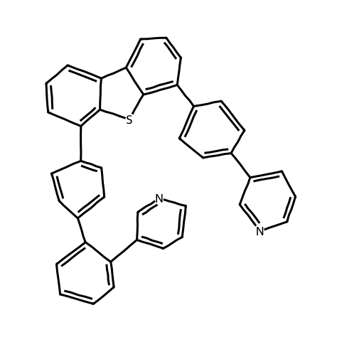 c1cncc(-c2ccc(-c3cccc4c3sc3c(-c5ccc(-c6ccccc6-c6cccnc6)cc5)cccc34)cc2)c1